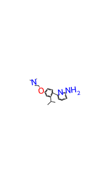 CC(C)c1cc(OCCN(C)C)ccc1-c1cccc(N)n1